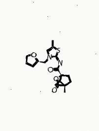 Cc1cn(C[C@H]2CCCO2)c(=NC(=O)[C@]23CC[C@](C)(C(=O)O2)C3(C)C)s1